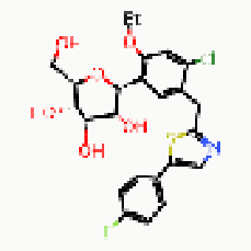 CCOc1cc(Cl)c(Cc2ncc(-c3ccc(F)cc3)s2)cc1[C@@H]1O[C@H](CO)[C@@H](O)[C@H](O)[C@H]1O